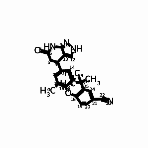 Cc1cc(C2CC(=O)Nc3n[nH]cc32)ccc1Oc1ccc(C#N)cc1C(C)(C)C